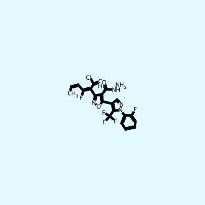 C=C(Cl)/C(=C(F)\C=C/C)c1noc(-c2cnn(-c3ccccc3F)c2C(F)(F)F)c1C(=O)NN